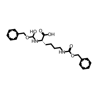 O=C(NCCCC[C@H](NC(O)OCc1ccccc1)C(=O)O)OCc1ccccc1